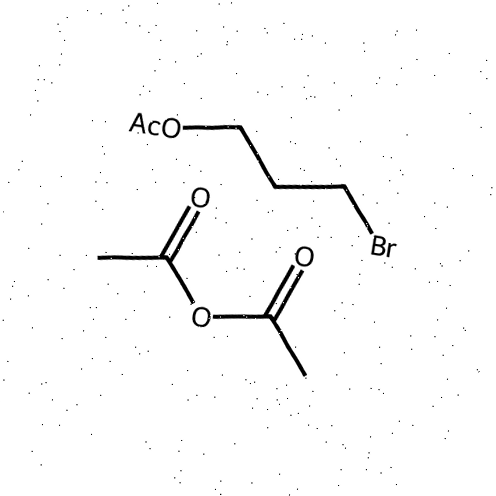 CC(=O)OC(C)=O.CC(=O)OCCCBr